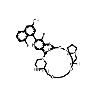 Oc1cc(-c2ncc3c4nc(nc3c2F)OC[C@]23CCCN2C[C@@H](C3)OCCCOC[C@H]2CN4CCN2)c2c(F)cccc2c1